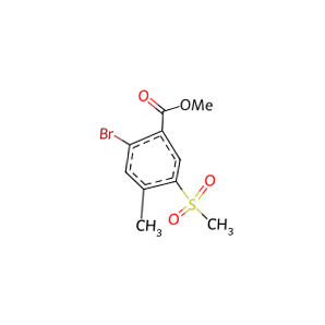 COC(=O)c1cc(S(C)(=O)=O)c(C)cc1Br